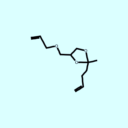 C=CCCC1(C)OCC(COCC=C)O1